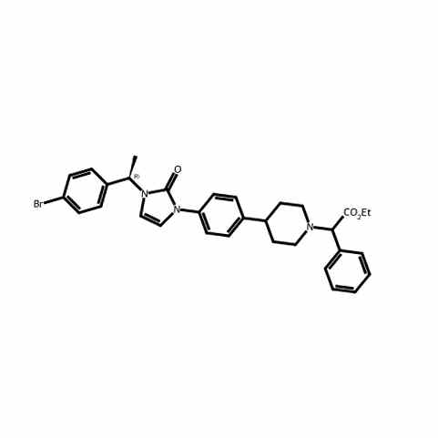 CCOC(=O)C(c1ccccc1)N1CCC(c2ccc(-n3ccn([C@H](C)c4ccc(Br)cc4)c3=O)cc2)CC1